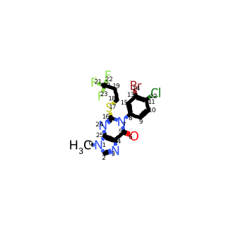 Cn1cnc2c(=O)n(-c3ccc(Cl)c(Br)c3)c(SCCC(F)(F)F)nc21